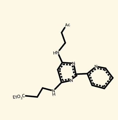 CCOC(=O)CCNc1cc(NCCC(C)=O)nc(-c2ccccn2)n1